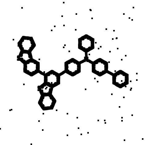 c1ccc(-c2ccc(N(c3ccccc3)c3ccc(-c4cc(-c5ccc6sc7ccccc7c6c5)c5sc6ccccc6c5c4)cc3)cc2)cc1